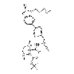 COCCCn1c(=O)oc2ccc(-c3ccc(C[C@@H](C#N)NC(=O)[C@@H]4[C@H](C)CC[C@H](C)N4C(=O)OC(C)(C)C)cc3)cc21